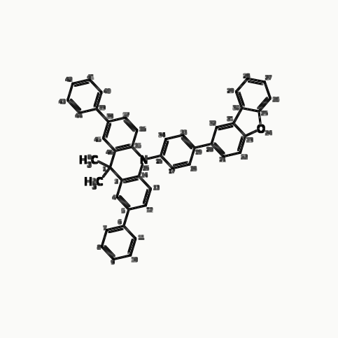 CC1(C)c2cc(-c3ccccc3)ccc2N(c2ccc(-c3ccc4oc5ccccc5c4c3)cc2)c2ccc(-c3ccccc3)cc21